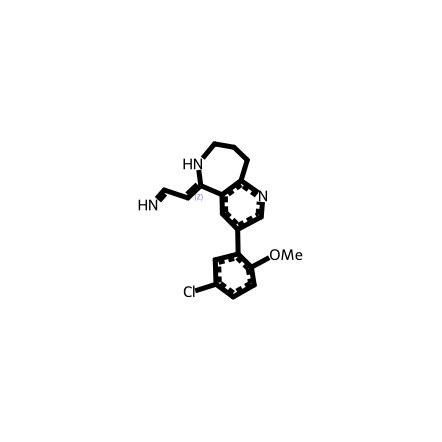 COc1ccc(Cl)cc1-c1cnc2c(c1)/C(=C/C=N)NCCC2